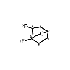 FC1CC2CCC1(F)CC2